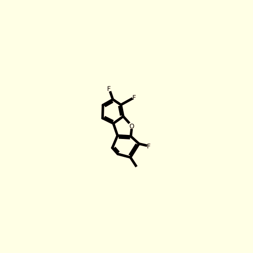 Cc1ccc2c(oc3c(F)c(F)ccc32)c1F